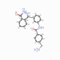 NCc1ccc(C(=O)Nc2cccc(-c3n[nH]c(=O)c4ccccc34)c2)cc1